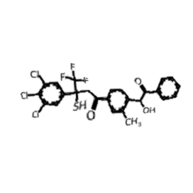 Cc1cc(C(=O)CC(S)(c2cc(Cl)c(Cl)c(Cl)c2)C(F)(F)F)ccc1C(O)C(=O)c1ccccc1